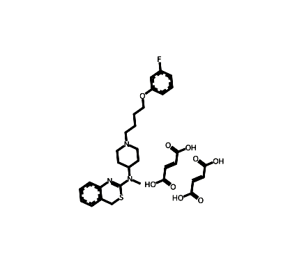 CN(C1=Nc2ccccc2CS1)C1CCN(CCCCOc2cccc(F)c2)CC1.O=C(O)/C=C/C(=O)O.O=C(O)/C=C/C(=O)O